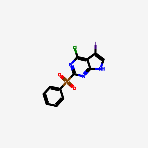 O=S(=O)(c1ccccc1)c1nc(Cl)c2c(I)c[nH]c2n1